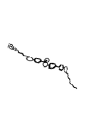 C=CCCCCCCOc1ccc(-c2ccc(OC(=O)c3ccc(OCCCCC[C@@H](C)CC)cc3)cc2)cc1